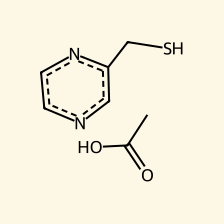 CC(=O)O.SCc1cnccn1